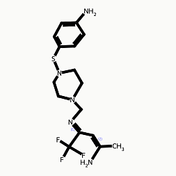 C/C(N)=C/C(=N\CN1CCN(Sc2ccc(N)cc2)CC1)C(F)(F)F